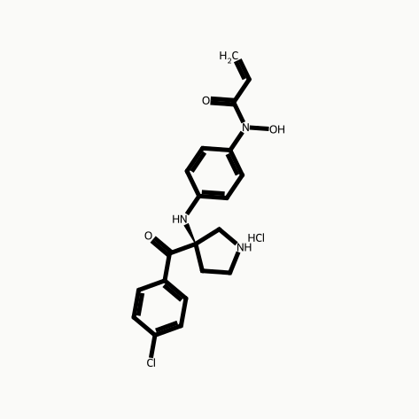 C=CC(=O)N(O)c1ccc(N[C@]2(C(=O)c3ccc(Cl)cc3)CCNC2)cc1.Cl